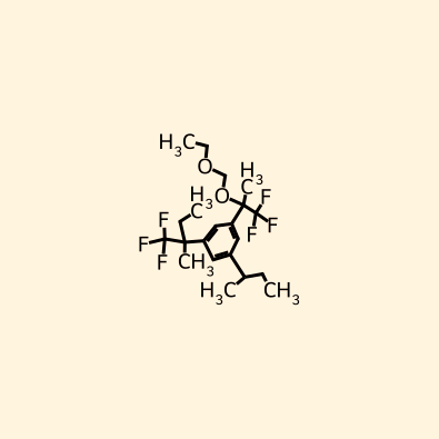 CCOCOC(C)(c1cc(C(C)CC)cc(C(C)(CC)C(F)(F)F)c1)C(F)(F)F